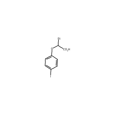 [CH2]CC(Oc1ccc(I)cc1)C(=O)O